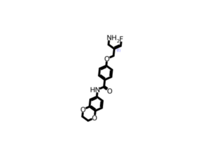 NC/C(=C\F)COc1ccc(C(=O)Nc2ccc3c(c2)OCCO3)cc1